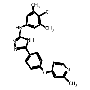 Cc1cc(Oc2ccc(-c3nnc(Nc4cc(C)c(Cl)c(C)c4)[nH]3)cc2)ccn1